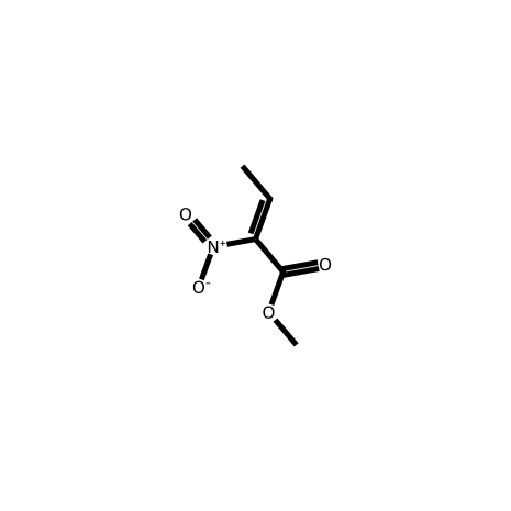 CC=C(C(=O)OC)[N+](=O)[O-]